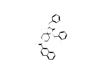 Cl.O=C(c1ccc2ccccc2c1)N1CCC2(CC1)N[C@@H](Cc1ccccc1)C(=O)N2Cc1ccccc1